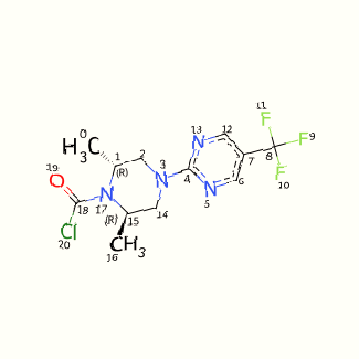 C[C@@H]1CN(c2ncc(C(F)(F)F)cn2)C[C@@H](C)N1C(=O)Cl